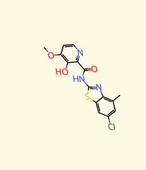 COc1ccnc(C(=O)Nc2nc3c(C)cc(Cl)cc3s2)c1O